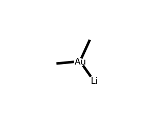 [Li][Au]([CH3])[CH3]